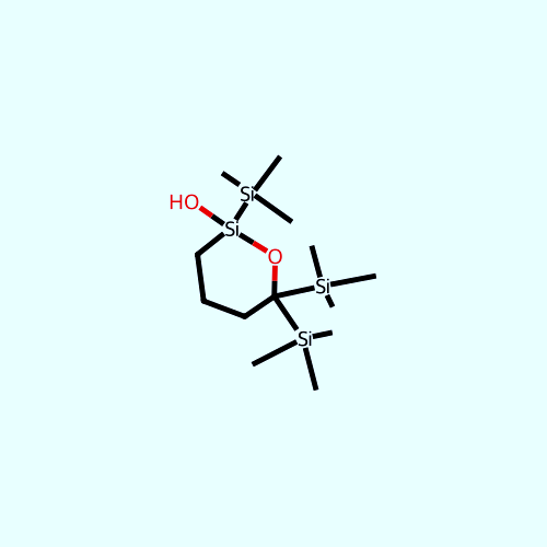 C[Si](C)(C)C1([Si](C)(C)C)CCC[Si](O)([Si](C)(C)C)O1